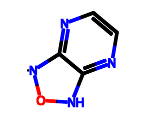 c1cnc2c(n1)[N]ON2